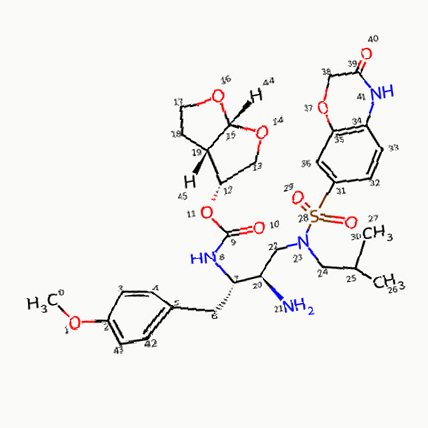 COc1ccc(C[C@H](NC(=O)O[C@H]2CO[C@H]3OCC[C@H]32)[C@H](N)CN(CC(C)C)S(=O)(=O)c2ccc3c(c2)OCC(=O)N3)cc1